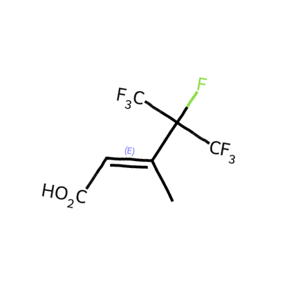 C/C(=C\C(=O)O)C(F)(C(F)(F)F)C(F)(F)F